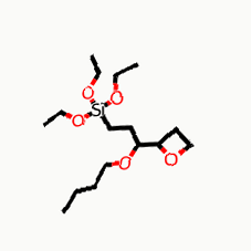 CCCCOC(CC[Si](OCC)(OCC)OCC)C1CCO1